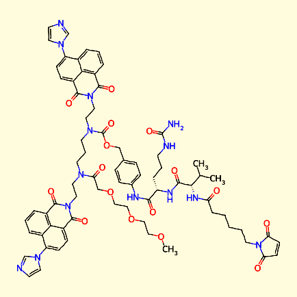 COCCOCCOCC(=O)N(CCCN(CCN1C(=O)c2cccc3c(-n4ccnc4)ccc(c23)C1=O)C(=O)OCc1ccc(NC(=O)[C@H](CCCNC(N)=O)NC(=O)[C@@H](NC(=O)CCCCCN2C(=O)C=CC2=O)C(C)C)cc1)CCN1C(=O)c2cccc3c(-n4ccnc4)ccc(c23)C1=O